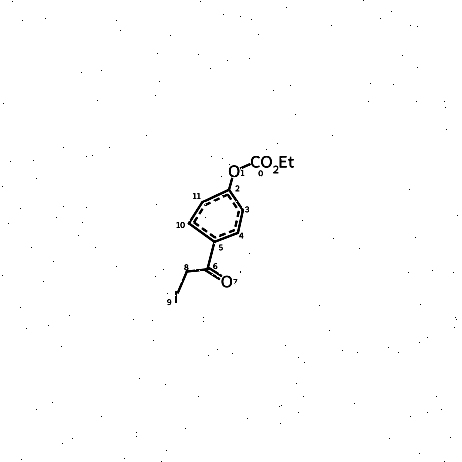 CCOC(=O)Oc1ccc(C(=O)CI)cc1